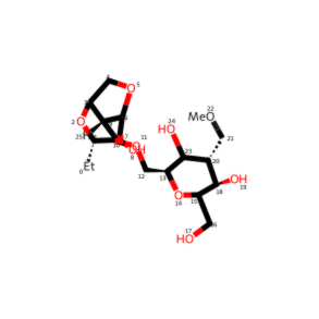 CC[C@@H]1OC2COC(C1O)[C@@H]2COC[C@@H]1OC(CO)[C@H](O)[C@@H](COC)C1O